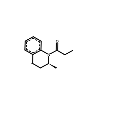 CCC(=O)N1c2ccccc2[CH]C[C@@H]1C